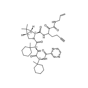 C#CCCC(NC(=O)[C@@H]1[C@@H]2[C@H](CN1C(=O)[C@@H](NC(=O)[C@@H](NC(=O)c1cnccn1)C1(C)CCCCC1)C1(C)CCCCC1)C2(C)C)C(=O)C(=O)NCC=C